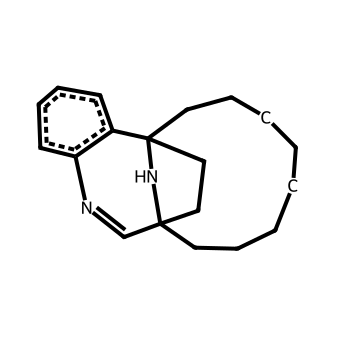 C1=Nc2ccccc2C23CCCCCCCCC1(CC2)N3